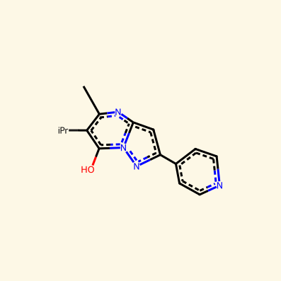 Cc1nc2cc(-c3ccncc3)nn2c(O)c1C(C)C